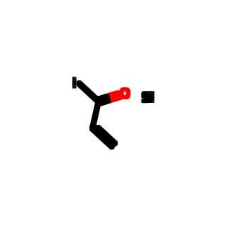 [C]C(=O)C=C.[Si]